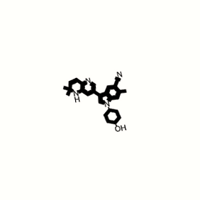 Cc1cc2c(cc1C#N)c(-c1cnc3c(c1)NC(C)(C)C=C3)cn2[C@H]1CC[C@@H](O)CC1